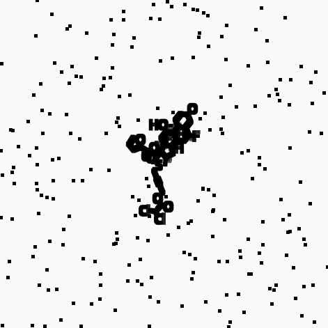 C[C@@H]1C[C@H]2[C@@H]3C[C@H](F)C4=CC(=O)C=C[C@]4(C)[C@@]3(F)[C@@H](O)C[C@]2(C)[C@@]1(OC(=O)c1ccco1)C(=O)SCC#CCOC(=O)C(Cl)Cl